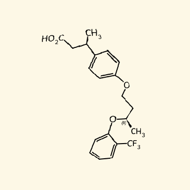 CC(CC(=O)O)c1ccc(OCC[C@@H](C)Oc2ccccc2C(F)(F)F)cc1